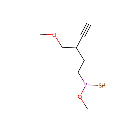 C#CC(CCP(S)OC)COC